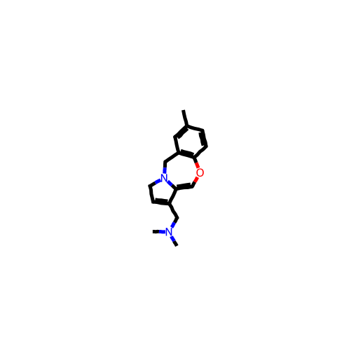 Cc1ccc2c(c1)CN1CC=C(CN(C)C)C1=CO2